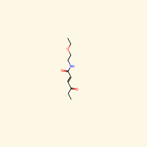 CCOCCNC(=O)/C=C/C(=O)CC